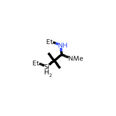 CCNC(NC)C(C)(C)[SiH2]CC